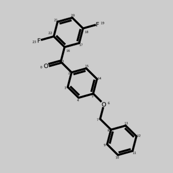 O=C(c1ccc(OCc2ccccc2)cc1)c1cc(F)ccc1F